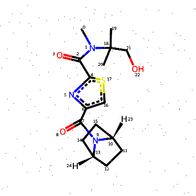 CN(C(=O)c1nc(C(=O)N2[C@H]3CC[C@@H]2CC3)cs1)C(C)(C)CO